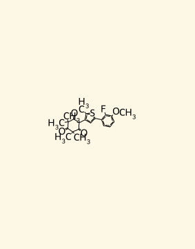 COc1cccc(-c2cc(C3C(=O)C(C)(C)C(=O)C(C)(C)C3=O)c(C)s2)c1F